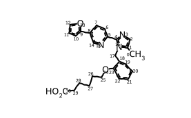 Cc1cnc(-c2ccc(-c3ccco3)cn2)n1Cc1ccccc1OCCCCCC(=O)O